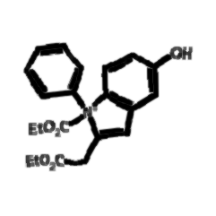 CCOC(=O)CC1=Cc2cc(O)ccc2[N+]1(C(=O)OCC)c1ccccc1